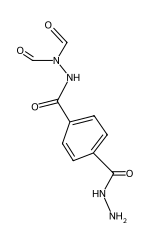 NNC(=O)c1ccc(C(=O)NN(C=O)C=O)cc1